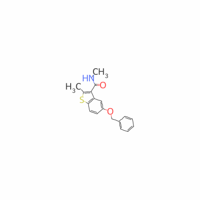 CNC(=O)c1c(C)sc2ccc(OCc3ccccc3)cc12